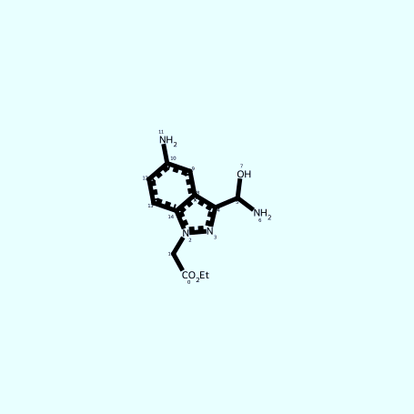 CCOC(=O)Cn1nc(C(N)O)c2cc(N)ccc21